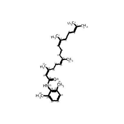 CC(C)=CCCC(C)=CCCC(C)=CCCC(C)=CC(=O)Nc1c(C)cccc1C